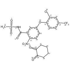 CS(=O)(=O)NC(=O)c1cc(Oc2ccc(C(F)(F)F)cc2Cl)ccc1[N+](=O)[O-].O=C1CCCCC1=O